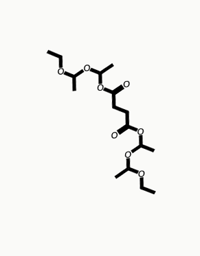 CCOC(C)OC(C)OC(=O)CCC(=O)OC(C)OC(C)OCC